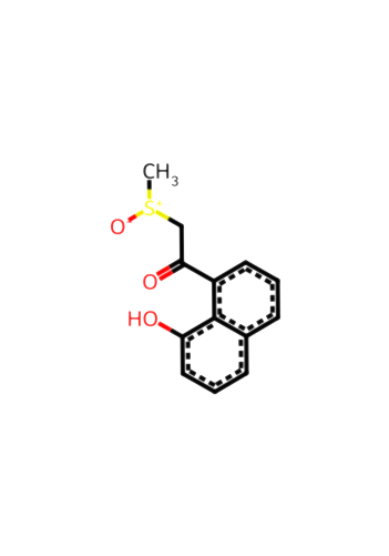 C[S+]([O-])CC(=O)c1cccc2cccc(O)c12